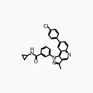 Cc1nn(-c2cccc(C(=O)NC3CC3)c2)c2c1cnc1ccc(-c3ccc(Cl)cc3)cc12